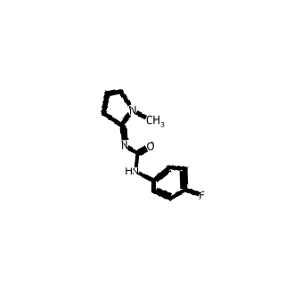 CN1CCCC1=NC(=O)Nc1ccc(F)cc1